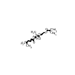 CC(C)CCCC(=O)OCNC(=O)OCCOC(=O)C(C)C.O